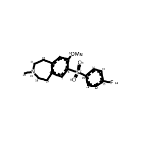 COc1cc2c(cc1S(=O)(=O)c1ccc(F)cc1)CCN(C)CC2